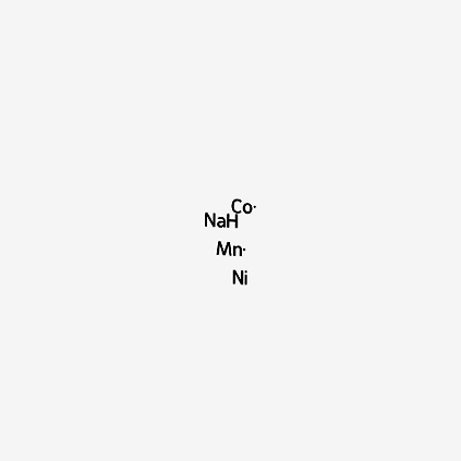 [Co].[Mn].[NaH].[Ni]